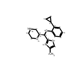 Cc1coc(C(Oc2ccccc2C2CC2)[C@@H]2CNCCO2)n1